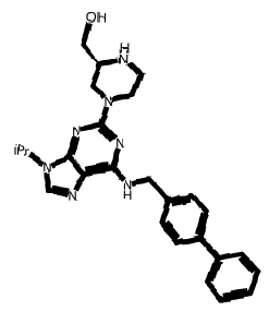 CC(C)n1cnc2c(NCc3ccc(-c4ccccc4)cc3)nc(N3CCN[C@H](CO)C3)nc21